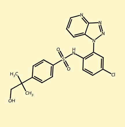 CC(C)(CO)c1ccc(S(=O)(=O)Nc2ccc(Cl)cc2-n2nnc3ncccc32)cc1